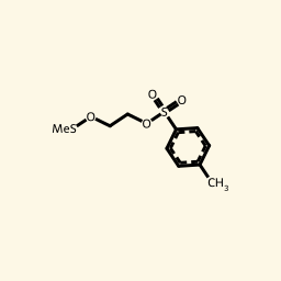 CSOCCOS(=O)(=O)c1ccc(C)cc1